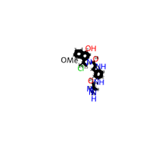 COc1cccc2c(O)cc3c(c12)[C@H](CCl)CN3C(=O)C1Cc2cc(NC(=O)c3c[nH]nn3)ccc2N1